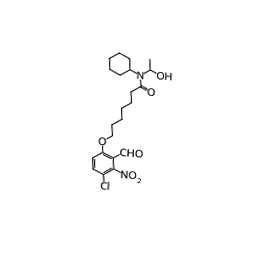 CC(O)N(C(=O)CCCCCCOc1ccc(Cl)c([N+](=O)[O-])c1C=O)C1CCCCC1